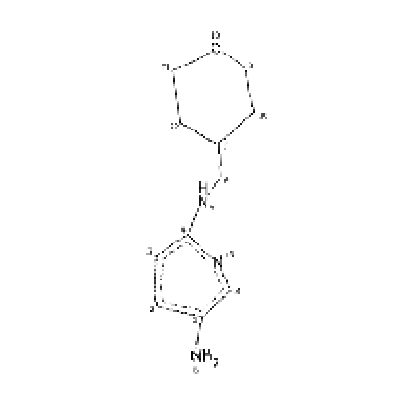 Nc1ccc(NCC2CCOCC2)nc1